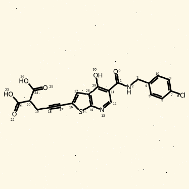 O=C(NCc1ccc(Cl)cc1)c1cnc2sc(C#CCC(C(=O)O)C(=O)O)cc2c1O